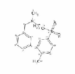 CN(C)Cc1ccccc1.Cc1ccc(S(=O)(=O)Cl)cc1